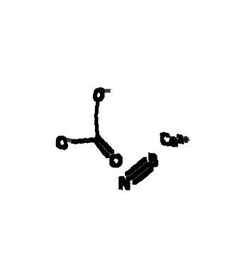 B#N.O=C([O-])[O-].[Ca+2]